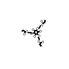 C=CC(=O)OCCOC1C(=O)C(OCCOC(=O)C=C)C(=O)C(OCCOC(=O)C=C)C1=O